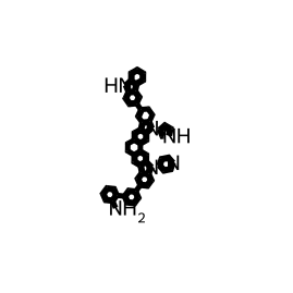 Nc1ccccc1-c1cccc(-c2ccc3c(c2)c2cc4c(cc2n3-c2ccncc2)-c2cc3c(cc2CC4)c2c(n3-c3cc[nH]c3)CCC(c3ccc4[nH]c5ccccc5c4c3)=C2)c1